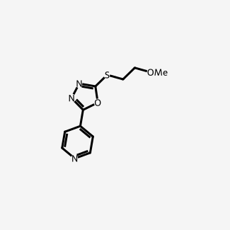 COCCSc1nnc(-c2ccncc2)o1